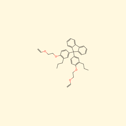 C=COCCOc1ccc(C2(c3ccc(OCCOC=C)c(CCC)c3)c3ccccc3-c3ccccc32)cc1CCC